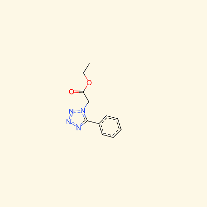 CCOC(=O)Cn1nnnc1-c1ccccc1